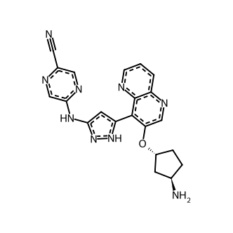 N#Cc1cnc(Nc2cc(-c3c(O[C@@H]4CC[C@@H](N)C4)cnc4cccnc34)[nH]n2)cn1